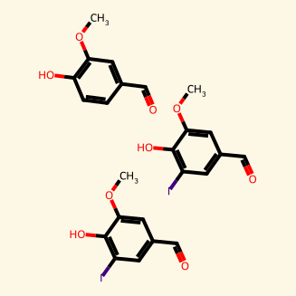 COc1cc(C=O)cc(I)c1O.COc1cc(C=O)cc(I)c1O.COc1cc(C=O)ccc1O